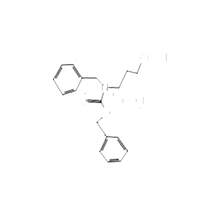 O=C(O)CC[C@H](C(=O)O)N(Cc1ccccc1)C(=O)OCc1ccccc1